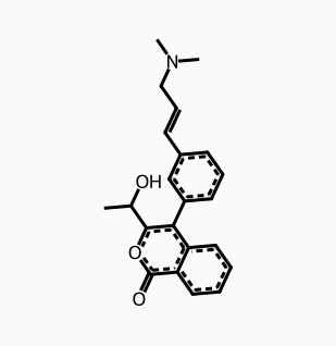 CC(O)c1oc(=O)c2ccccc2c1-c1cccc(C=CCN(C)C)c1